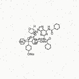 COc1ccc(C(OC[C@@]23CO[C@@H]([C@H](n4cnc5c(NC(=O)c6ccccc6)nc(NC(=O)c6ccccc6)nc54)O2)[C@@H]3OP(OCCC#N)N(C(C)C)C(C)C)(c2ccccc2)c2ccc(OC)cc2)cc1